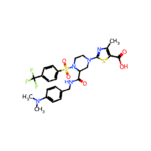 Cc1nc(N2CCN(S(=O)(=O)c3ccc(C(F)(F)F)cc3)C(C(=O)NCc3ccc(N(C)C)cc3)C2)sc1C(=O)O